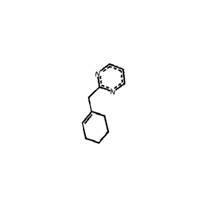 C1=C(Cc2ncccn2)CCCC1